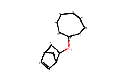 C1=CC2CC1CC2OC1CCCCCCC1